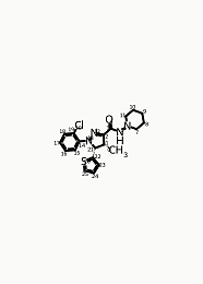 C[C@H]1C(C(=O)NN2CCCCC2)=NN(c2ccccc2Cl)[C@H]1c1cccs1